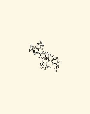 CCOc1ccc(Cc2nc3cc(C(=O)N(CC(F)(F)F)CC(F)(F)F)ccc3n2CC2COCCN2C)cc1